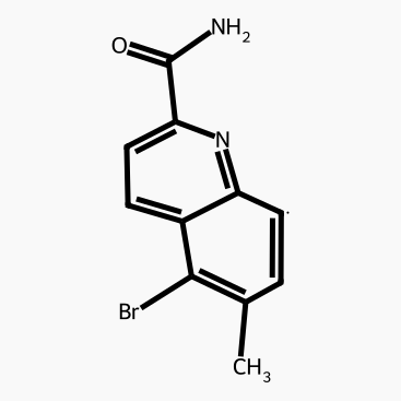 Cc1c[c]c2nc(C(N)=O)ccc2c1Br